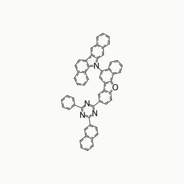 c1ccc(-c2nc(-c3ccc4ccccc4c3)nc(-c3ccc4oc5c6ccccc6c(-n6c7cc8ccccc8cc7c7ccc8ccccc8c76)cc5c4c3)n2)cc1